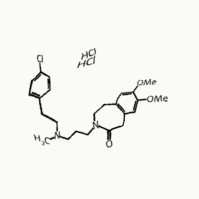 COc1cc2c(cc1OC)CC(=O)N(CCCN(C)CCc1ccc(Cl)cc1)CC2.Cl.Cl